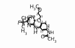 COCCOc1cnc(NC(C)=O)cc1Nc1cncc(C(C)(C)F)n1